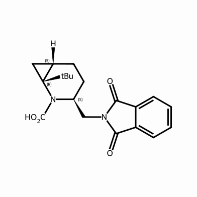 CC(C)(C)[C@@]12C[C@@H]1CC[C@@H](CN1C(=O)c3ccccc3C1=O)N2C(=O)O